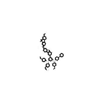 C=Cc1ccc(N(c2ccc(-c3ccccc3)cc2)c2cc(-c3ccc4sc5cc(Nc6ccc7c(c6)C(C)(C)c6cc(C=C)ccc6-7)ccc5c4c3)cc(N(c3ccc(C=C)cc3)c3ccc4occc4c3)c2)cc1